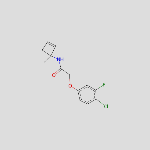 CC1(NC(=O)COc2ccc(Cl)c(F)c2)C=CC1